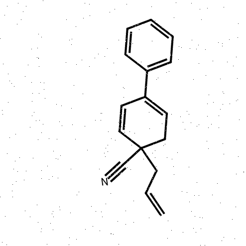 C=CCC1(C#N)C=CC(c2ccccc2)=CC1